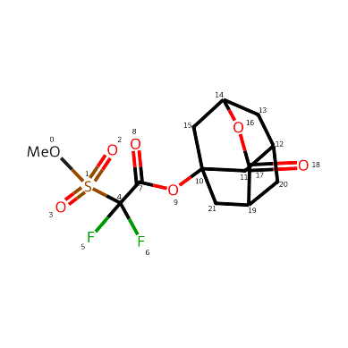 COS(=O)(=O)C(F)(F)C(=O)OC12CC3CC(C1)OC(=O)C(C3)C2